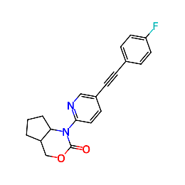 O=C1OCC2CCCC2N1c1ccc(C#Cc2ccc(F)cc2)cn1